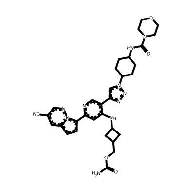 N#Cc1cnn2c(-c3cc(NC4CC(COC(N)=O)C4)c(-c4cn(C5CCC(NC(=O)N6CCOCC6)CC5)nn4)cn3)ccc2c1